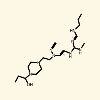 C=NN(/C=C/NC(/N=C/NCCC)NC)CCN1CCN(C(O)CC)CC1